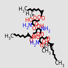 CCCCCCCC1CC1C(=O)OCC1O[C@@H](O[C@H]2C(COC(=O)C3CC3CCCCCCC)O[C@@H](O[C@H]3C(COC(=O)C4CC4CCCCCCC)O[C@@H](OC(C)C)C(N)C3O)C(N)C2O)C(N)C(O)[C@H]1OCC